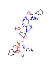 CC(N[P@](=O)(OCC1=CC(O)C(n2cnc3c(NC(=O)c4ccccc4)ncnc32)O1)Oc1ccccc1)C(=O)O